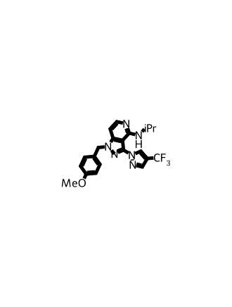 COc1ccc(Cn2nc(-n3cc(C(F)(F)F)cn3)c3c(NC(C)C)nccc32)cc1